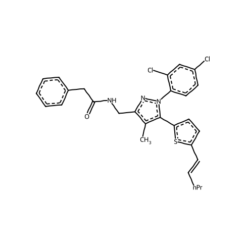 CCCC=Cc1ccc(-c2c(C)c(CNC(=O)Cc3ccccc3)nn2-c2ccc(Cl)cc2Cl)s1